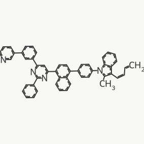 C=C/C=C\c1c(C)n(-c2ccc(-c3ccc(-c4cc(-c5cccc(-c6cccnc6)c5)nc(-c5ccccc5)n4)c4ccccc34)cc2)c2ccccc12